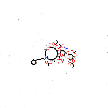 CCC(=O)O[C@@H]1CC(=O)O[C@H](C)CCN(CCCCc2ccccc2)C[C@H](OC(C)=O)[C@H](C)C[C@H](CC(OC)OC)[C@H]([C@@H]2O[C@H](C)[C@@H](O[C@@H]3C[C@@](C)(OC(C)=O)[C@@H](OC(=O)CC)[C@H](C)O3)[C@H](N(C)C)[C@H]2OC(C)=O)[C@@H]1OC